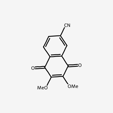 COC1=C(OC)C(=O)c2cc(C#N)ccc2C1=O